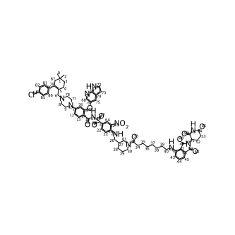 CC1(C)CCC(CN2CCN(c3ccc(C(=O)NS(=O)(=O)c4ccc(NCC5CCCN(C(=O)CCCCCCCNc6cccc7c6C(=O)N(C6CCC(=O)NC6=O)C7=O)C5)c([N+](=O)[O-])c4)c(Oc4cnc5[nH]ccc5c4)c3)CC2)=C(c2ccc(Cl)cc2)C1